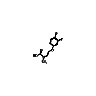 CN(CCOc1ccc(Br)c(F)c1)C(=O)O